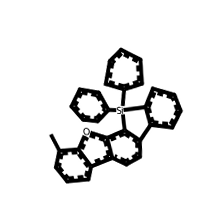 Cc1cccc2c1oc1c3c(ccc12)-c1ccccc1[Si]3(c1ccccc1)c1ccccc1